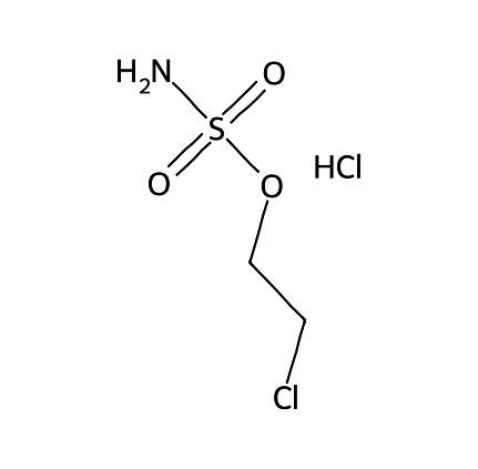 Cl.NS(=O)(=O)OCCCl